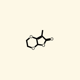 CC1=C2OCCOC2OC1=O